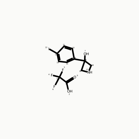 O=C(O)C(F)(F)F.OC1(c2ccc(I)cc2)CNC1